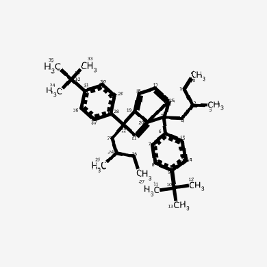 CCC(C)CC1(c2ccc(C(C)(C)C)cc2)C2=CC=C3C1=C2C3(CC(C)CC)c1ccc(C(C)(C)C)cc1